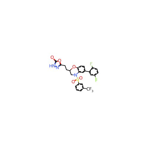 O=c1[nH]nc(CCC2CN(S(=O)(=O)c3cccc(C(F)(F)F)c3)c3cc(-c4cc(F)ccc4F)ccc3O2)o1